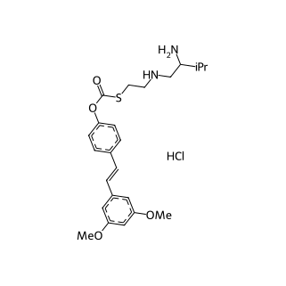 COc1cc(/C=C/c2ccc(OC(=O)SCCNCC(N)C(C)C)cc2)cc(OC)c1.Cl